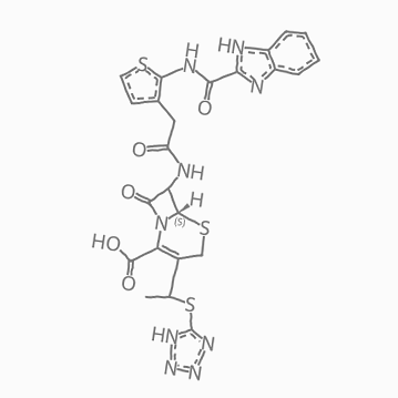 CC(Sc1nnn[nH]1)C1=C(C(=O)O)N2C(=O)C(NC(=O)Cc3ccsc3NC(=O)c3nc4ccccc4[nH]3)[C@@H]2SC1